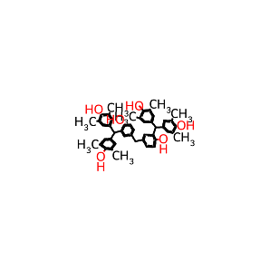 Cc1cc(C(c2cc(C)c(O)c(C)c2)c2cc(Cc3ccc(O)c(C(c4cc(C)c(O)c(C)c4)c4cc(C)c(O)c(C)c4)c3)ccc2O)cc(C)c1O